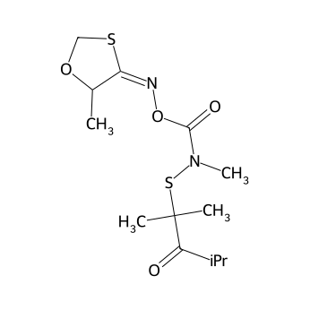 CC(C)C(=O)C(C)(C)SN(C)C(=O)ON=C1SCOC1C